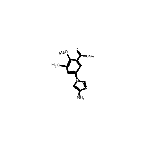 COC(=O)c1cc(-n2cnc(N)c2)cc(C)c1OC